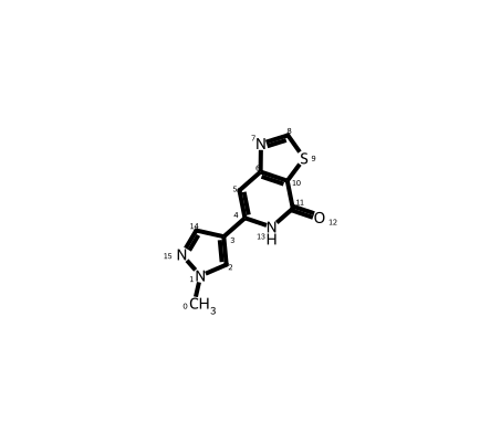 Cn1cc(-c2cc3ncsc3c(=O)[nH]2)cn1